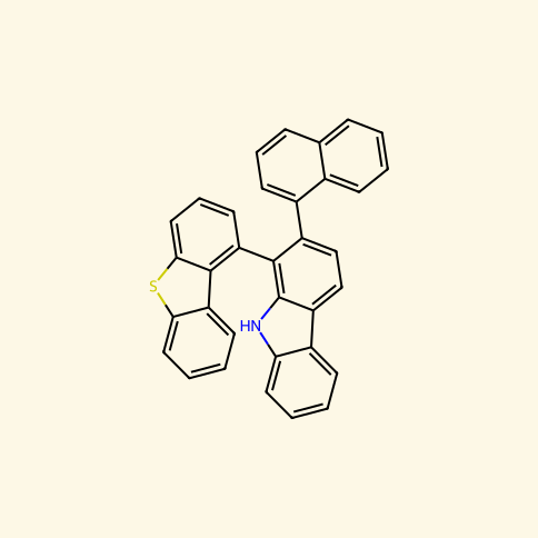 c1ccc2c(-c3ccc4c([nH]c5ccccc54)c3-c3cccc4sc5ccccc5c34)cccc2c1